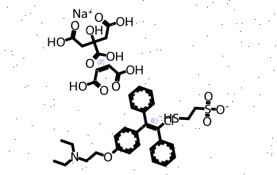 CCN(CC)CCOc1ccc(/C(=C(/Cl)c2ccccc2)c2ccccc2)cc1.O=C(O)/C=C\C(=O)O.O=C(O)CC(O)(CC(=O)O)C(=O)O.O=S(=O)([O-])CCS.[Na+]